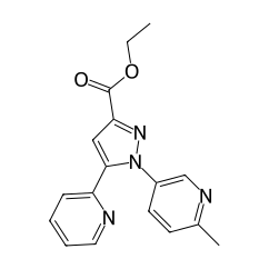 CCOC(=O)c1cc(-c2ccccn2)n(-c2ccc(C)nc2)n1